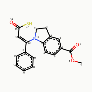 COC(=O)c1ccc2c(c1)CCN2/C(=C\C(=O)S)c1ccccc1